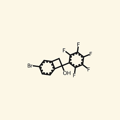 OC1(c2c(F)c(F)c(F)c(F)c2F)Cc2cc(Br)ccc21